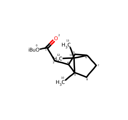 CC(C)COC(=O)CC1CC2CCC1(C)C2(C)C